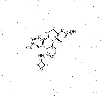 CCC(C[S+]([O-])NC1COC1)N1C(=O)C(CC(=O)O)CCC1c1ccc(Cl)cc1